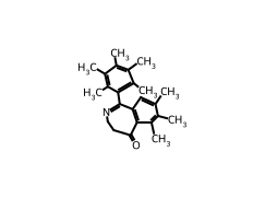 Cc1cc2c(c(C)c1C)C(=O)CCN=C2c1c(C)c(C)c(C)c(C)c1C